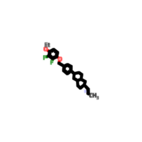 C/C=C/C1CCC2CC(c3ccc(COc4ccc(OCC)c(F)c4F)cc3)CCC2C1